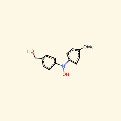 COc1ccc(N(O)c2ccc(CO)cc2)cc1